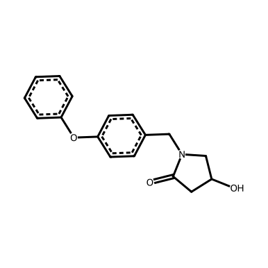 O=C1CC(O)CN1Cc1ccc(Oc2ccccc2)cc1